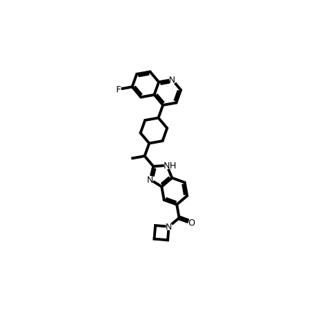 CC(c1nc2cc(C(=O)N3CCC3)ccc2[nH]1)C1CCC(c2ccnc3ccc(F)cc23)CC1